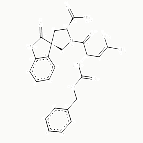 CC(C)=C[C@H](NC(=O)OCc1ccccc1)C(=O)N1C[C@]2(C[C@H]1C(N)=O)C(=O)Nc1ccccc12